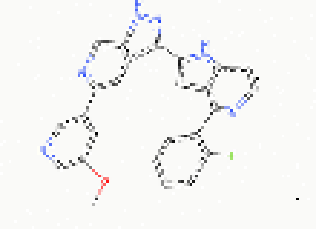 COc1cncc(-c2cc3c(-c4cc5c(-c6ccccc6F)nccc5[nH]4)n[nH]c3cn2)c1